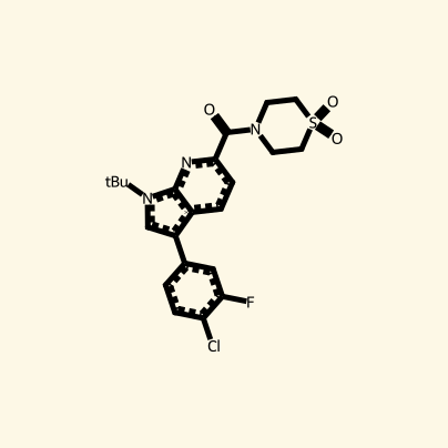 CC(C)(C)n1cc(-c2ccc(Cl)c(F)c2)c2ccc(C(=O)N3CCS(=O)(=O)CC3)nc21